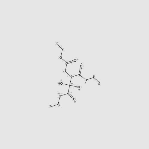 CCOC(=O)CC(C(=O)OCC)C(O)(O)C(=O)OCC